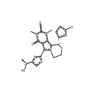 C[C@H](O)c1csc(-c2c3c(=O)n(C)c(=O)n(C)c3c3n2CCS[C@H]3c2ccc(Cl)o2)n1